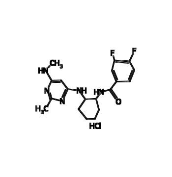 CNc1cc(NC2CCCCC2NC(=O)c2ccc(F)c(F)c2)nc(C)n1.Cl